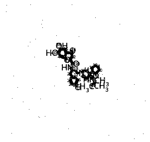 CC(C)(C)NC(=O)C1(C2CCCCC2)CCN(CC[C@H](Cc2ccc(Cl)cc2)NC(=O)c2cc(=O)c3cc(O)c(O)cc3o2)CC1